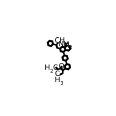 C=C/C(=C\c1cc(-c2ccc(-c3cccc4c(/C=C\C)c(C=C)oc34)cc2)c2cccnc2c1N)c1ccccc1